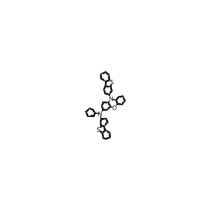 c1ccc(N(c2ccc3c(c2)Oc2ccccc2N3c2ccc3c(c2)sc2ccccc23)c2ccc3c(c2)sc2ccccc23)cc1